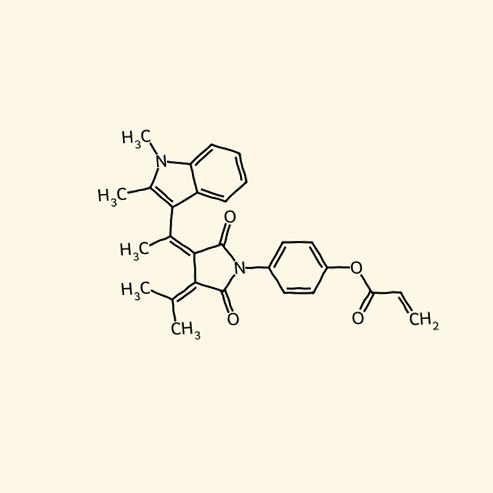 C=CC(=O)Oc1ccc(N2C(=O)C(=C(C)C)C(=C(C)c3c(C)n(C)c4ccccc34)C2=O)cc1